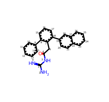 N=C(N)NC(=O)Cc1c(-c2ccccc2)cccc1-c1ccc2ccccc2c1